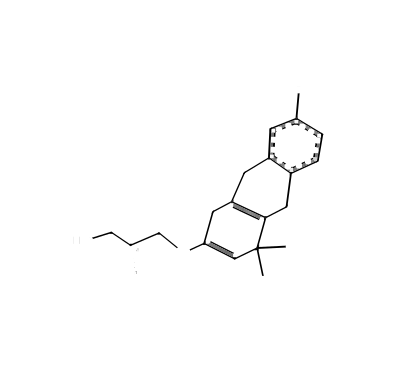 CC1(C)C=C(OC[C@H](O)CO)CC2=C1Cc1ccc(F)cc1C2